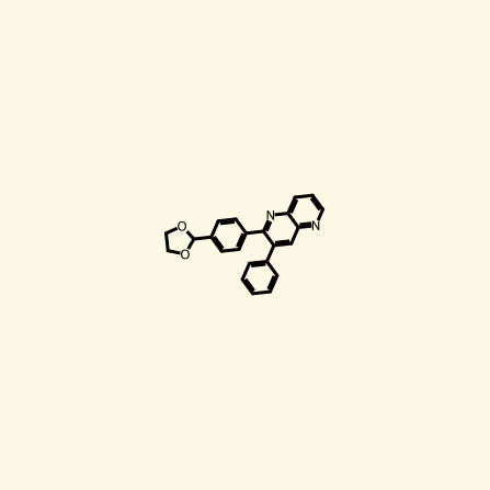 c1ccc(-c2cc3ncccc3nc2-c2ccc(C3OCCO3)cc2)cc1